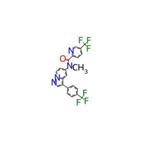 CN(C(=O)c1ccc(C(F)(F)F)cn1)c1ccn2ncc(-c3ccc(C(F)(F)F)cc3)c2c1